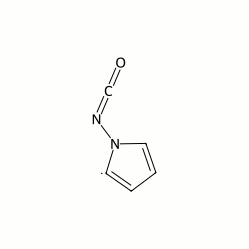 O=C=Nn1[c]ccc1